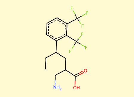 CCC(CC(CN)C(=O)O)c1cccc(C(F)(F)F)c1C(F)(F)F